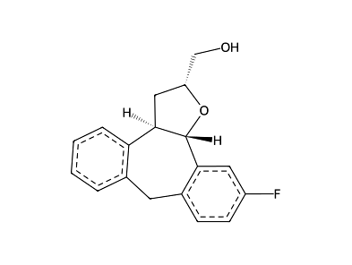 OC[C@H]1C[C@@H]2c3ccccc3Cc3ccc(F)cc3[C@H]2O1